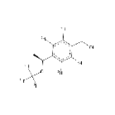 [2H]c1c([2H])c([C@H](C)OC([2H])([2H])[2H])c([2H])c([2H])c1CO